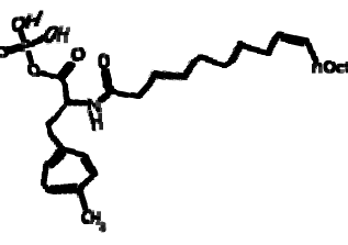 CCCCCCCC/C=C\CCCCCCCC(=O)N[C@@H](Cc1ccc(C)cc1)C(=O)OP(=O)(O)O